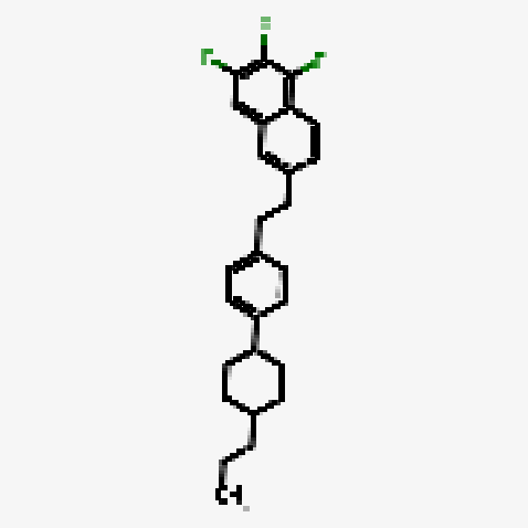 CCCC1CCC(c2ccc(CCc3ccc4c(F)c(F)c(F)cc4c3)cc2)CC1